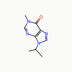 CC(C)n1cnc2c(=O)n(C)cnc21